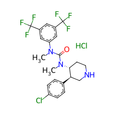 CN(C(=O)N(C)[C@@H]1CCNC[C@H]1c1ccc(Cl)cc1)c1cc(C(F)(F)F)cc(C(F)(F)F)c1.Cl